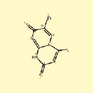 Cc1cc(=O)[nH]c2nc(=S)c(C(C)C)cn12